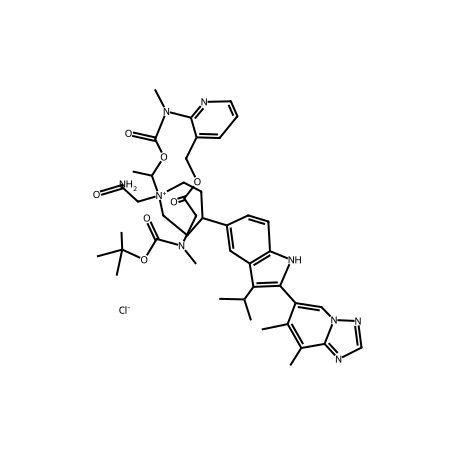 Cc1c(-c2[nH]c3ccc(C4CC[N+](CC(N)=O)(C(C)OC(=O)N(C)c5ncccc5COC(=O)CN(C)C(=O)OC(C)(C)C)CC4)cc3c2C(C)C)cn2ncnc2c1C.[Cl-]